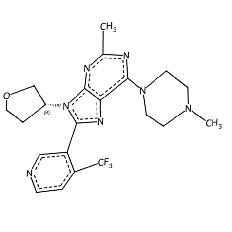 Cc1nc(N2CCN(C)CC2)c2nc(-c3cnccc3C(F)(F)F)n([C@@H]3CCOC3)c2n1